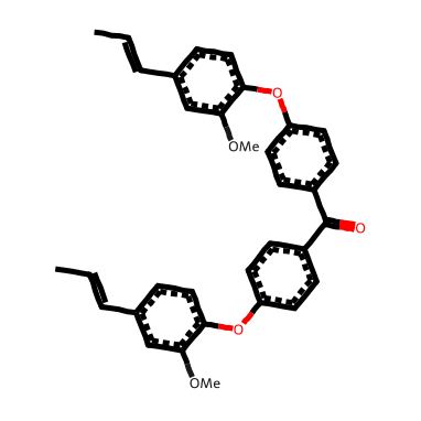 CC=Cc1ccc(Oc2ccc(C(=O)c3ccc(Oc4ccc(C=CC)cc4OC)cc3)cc2)c(OC)c1